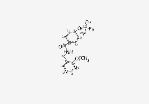 COc1ncncc1CNC(=O)c1ccc(OC(F)(F)F)cc1